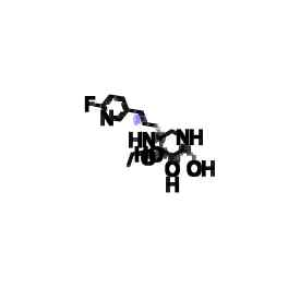 CCC(=O)N[C@@]1(C/C=C/c2ccc(F)nc2)CN[C@H](CO)[C@@H](O)[C@@H]1O